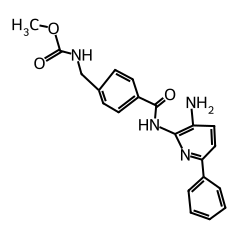 COC(=O)NCc1ccc(C(=O)Nc2nc(-c3ccccc3)ccc2N)cc1